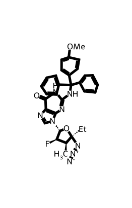 CC[C@@]1(N=[N+]=[N-])O[C@@H](n2cnc3c(=O)[nH]c(NC(c4ccccc4)(c4ccccc4)c4ccc(OC)cc4)nc32)[C@H](F)[C@@H]1C